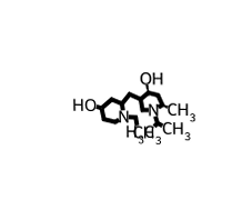 CCN1CCC(O)CC1CC1CN(C(C)C)[C@H](C)C[C@@H]1O